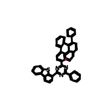 c1ccc(-c2nc(-c3ccc(-c4ccccc4-c4c(-c5ccccc5)ccc5ccccc45)cc3)nc(-c3cccc4c3sc3ccccc34)n2)cc1